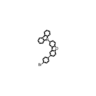 Brc1ccc(-c2ccc3oc4ccc(-n5c6ccccc6c6ccccc65)cc4c3c2)cc1